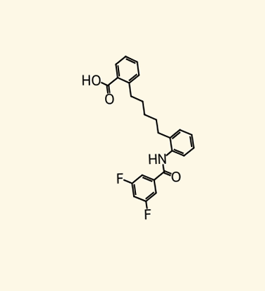 O=C(Nc1ccccc1CCCCCc1ccccc1C(=O)O)c1cc(F)cc(F)c1